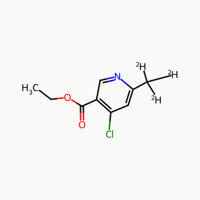 [2H]C([2H])([2H])c1cc(Cl)c(C(=O)OCC)cn1